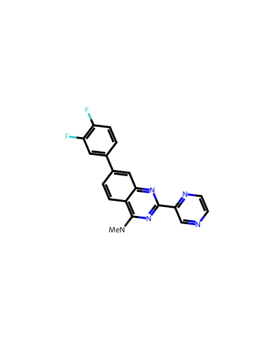 CNc1nc(-c2cnccn2)nc2cc(-c3ccc(F)c(F)c3)ccc12